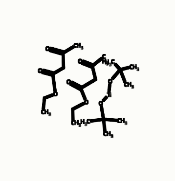 CC(C)(C)[O][Ti][O]C(C)(C)C.CCOC(=O)CC(C)=O.CCOC(=O)CC(C)=O